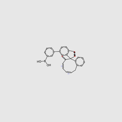 C=C1/C=C\C=C/Cc2ccccc2C12c1ccccc1-c1ccc(-c3cccc(B(O)O)c3)cc12